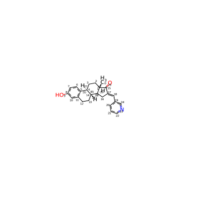 C[C@]12CC[C@@H]3c4ccc(O)cc4CC[C@H]3[C@@H]1CC(=Cc1cccnc1)C2=O